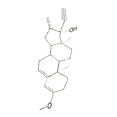 C#C[C@]1(O)C(=C)CC2C3CC=C4C=C(OC)CC[C@]4(C)C3CC[C@@]21C